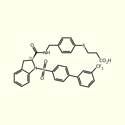 O=C(O)CCSc1ccc(CNC(=O)[C@@H]2Cc3ccccc3N2S(=O)(=O)c2ccc(-c3cccc(C(F)(F)F)c3)cc2)cc1